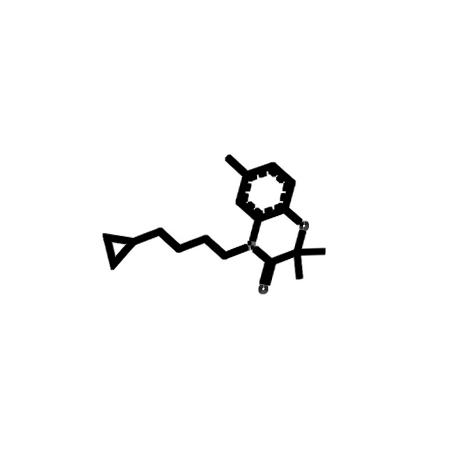 Cc1ccc2c(c1)N(CCCCC1CC1)C(=O)C(C)(C)O2